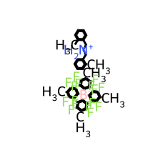 Cc1c(F)c(F)c([B-](c2c(F)c(F)c(C)c(F)c2F)(c2c(F)c(F)c(C)c(F)c2F)c2c(F)c(F)c(C)c(F)c2F)c(F)c1F.Cc1ccccc1C[NH2+]Cc1ccccc1C